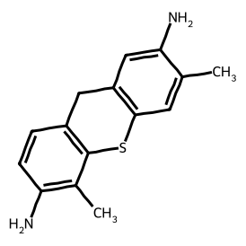 Cc1cc2c(cc1N)Cc1ccc(N)c(C)c1S2